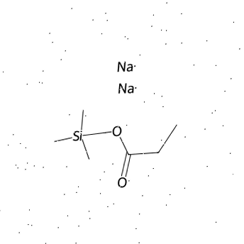 CCC(=O)O[Si](C)(C)C.[Na].[Na]